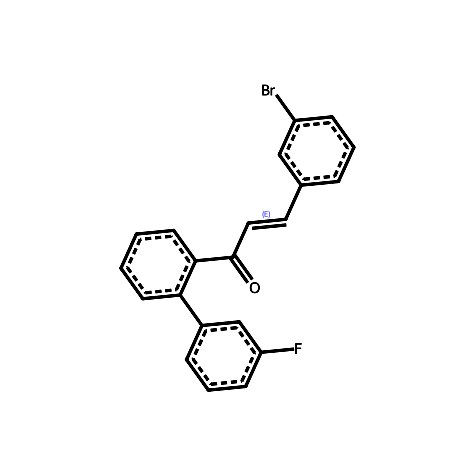 O=C(/C=C/c1cccc(Br)c1)c1ccccc1-c1cccc(F)c1